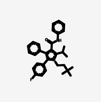 CC(C)c1c(C(=O)Nc2ccccc2)c(-c2ccccc2)c(-c2ccc(F)cc2)n1CCC(C)(C)C